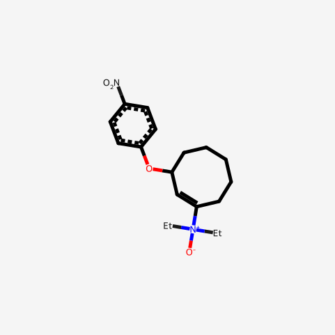 CC[N+]([O-])(CC)C1=CC(Oc2ccc([N+](=O)[O-])cc2)CCCCC1